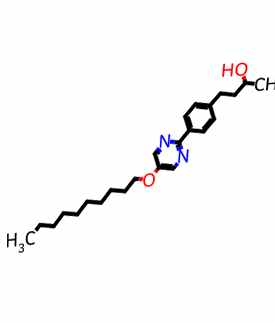 CCCCCCCCCCOc1cnc(-c2ccc(CCC(C)O)cc2)nc1